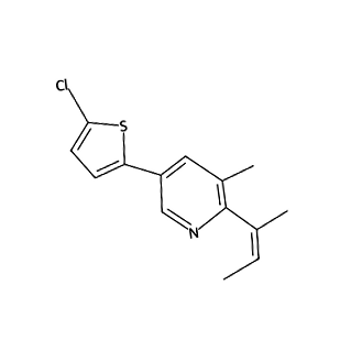 C/C=C(/C)c1ncc(-c2ccc(Cl)s2)cc1C